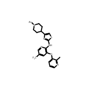 CC(=O)N1CCC(c2csc(Nc3ncc(C(F)(F)F)cc3Oc3cccnc3C)n2)CC1